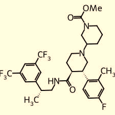 COC(=O)N1CCCC(N2CC[C@H](C(=O)NC[C@H](C)c3cc(C(F)(F)F)cc(C(F)(F)F)c3)[C@@H](c3ccc(F)cc3C)C2)C1